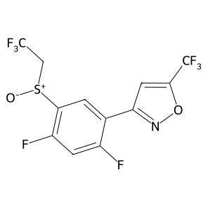 [O-][S+](CC(F)(F)F)c1cc(-c2cc(C(F)(F)F)on2)c(F)cc1F